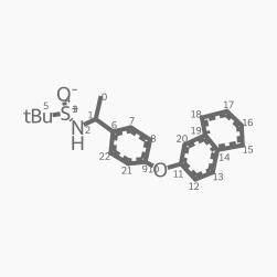 CC(N[S+]([O-])C(C)(C)C)c1ccc(Oc2ccc3ccccc3c2)cc1